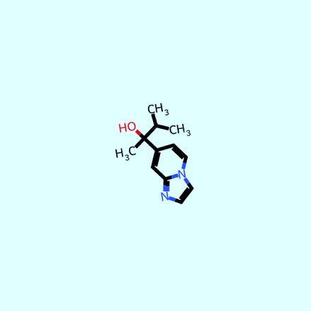 CC(C)C(C)(O)c1ccn2ccnc2c1